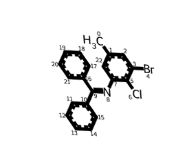 Cc1cc(Br)c(Cl)c(N=C(c2ccccc2)c2ccccc2)c1